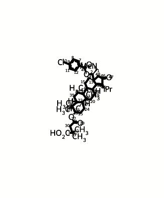 CNC[C@H](OC(=O)c1ccc(Cl)cc1)[C@@]12CC[C@]3(C)[C@H](CC[C@@H]4[C@@]5(C)CC[C@H](OC(=O)CC(C)(C)C(=O)O)C(C)(C)[C@@H]5CC[C@]43C)C1=C(C(C)C)C(=O)C2